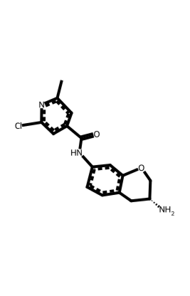 Cc1cc(C(=O)Nc2ccc3c(c2)OC[C@H](N)C3)cc(Cl)n1